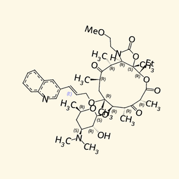 CC[C@H]1OC(=O)[C@H](C)C(=O)[C@H](C)[C@@H](O[C@@H]2O[C@H](C)C[C@H](N(C)C)[C@H]2O)[C@](C)(OC/C=C/c2cnc3ccccc3c2)C[C@@H](C)C(=O)[C@H](C)[C@H]2N(CCOC)C(=O)O[C@]12C